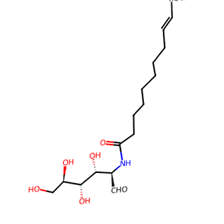 CCCCCCCCC=CCCCCCCCC(=O)N[C@@H](C=O)[C@@H](O)[C@H](O)[C@H](O)CO